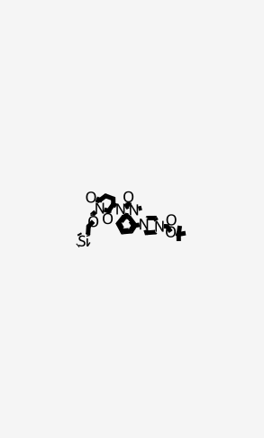 Cn1c(=O)n(C2CCC(=O)N(COCC[Si](C)(C)C)C2=O)c2cccc(N3CCN(C(=O)OC(C)(C)C)CC3)c21